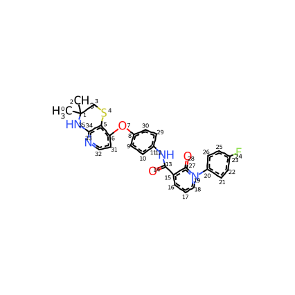 CC1(C)CSc2c(Oc3ccc(NC(=O)c4cccn(-c5ccc(F)cc5)c4=O)cc3)ccnc2N1